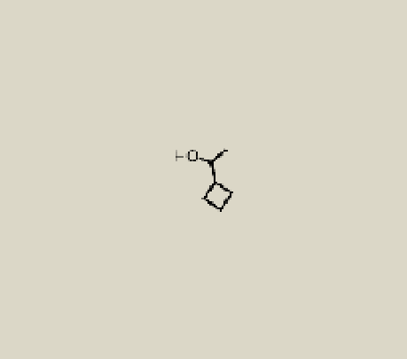 CC(O)C1CCC1